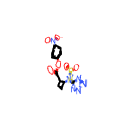 O=C(Oc1ccc([N+](=O)[O-])cc1)C1CCC1[N+](=C1N=NN=N1)[SH](=O)=O